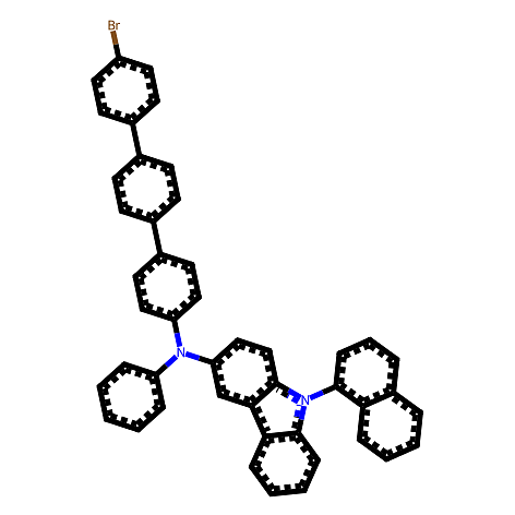 Brc1ccc(-c2ccc(-c3ccc(N(c4ccccc4)c4ccc5c(c4)c4ccccc4n5-c4cccc5ccccc45)cc3)cc2)cc1